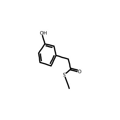 CSC(=O)Cc1cccc(O)c1